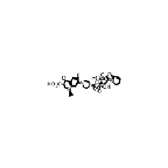 O=C(O)c1cn(C2CC2)c2cc(N3CCN(C(=O)OC(Cc4cnc5ccccn45)(P(=O)(O)O)P(=O)(O)O)CC3)c(F)cc2c1=O